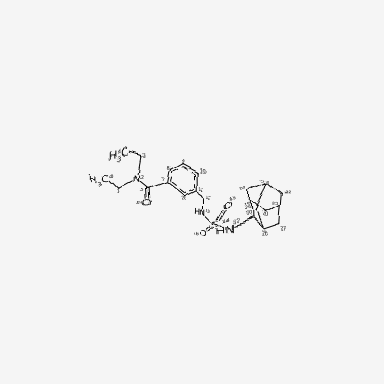 CCN(CC)C(=O)c1cccc(CNS(=O)(=O)NC2C3CC4CC(C3)CC2C4)c1